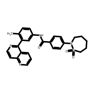 Cc1ccc(NC(=O)c2ccc(N3CCCCCS3(=O)=O)cc2)cc1-c1nccc2ncccc12